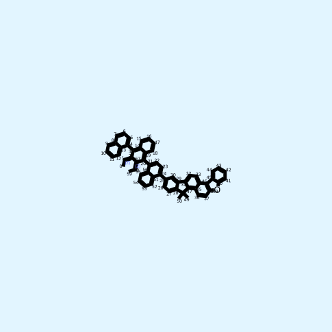 C/C=c1/c(-c2cccc3ccccc23)c2ccccc2c(-c2ccc(-c3ccc4c(c3)-c3ccc5c(ccc6oc7ccccc7c65)c3C4(C)C)c3ccccc23)/c1=C/C